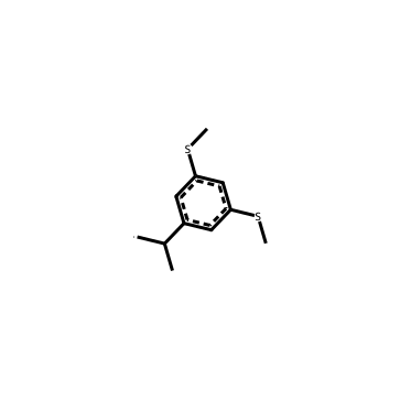 [CH2]C(C)c1cc(SC)cc(SC)c1